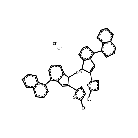 CCc1ccc(C2=Cc3c(-c4cccc5ccccc45)cccc3[CH]2[Zr+2][CH]2C(c3ccc(CC)s3)=Cc3c(-c4cccc5ccccc45)cccc32)s1.[Cl-].[Cl-]